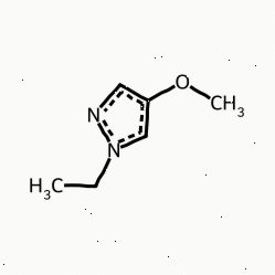 CCn1cc(OC)cn1